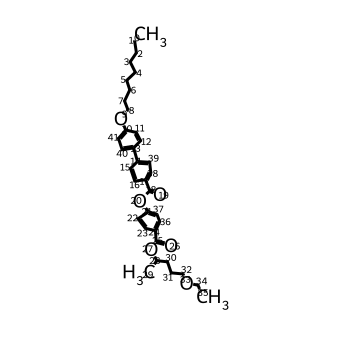 CCCCCCCCCOc1ccc(-c2ccc(C(=O)Oc3ccc(C(=O)OC(C)CCCOCC)cc3)cc2)cc1